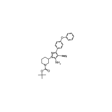 CC(C)(C)OC(=O)N1CCCC(n2nc(-c3ccc(Oc4ccccc4)cc3)c(C#N)c2N)C1